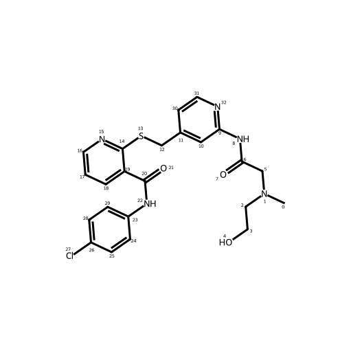 CN(CCO)CC(=O)Nc1cc(CSc2ncccc2C(=O)Nc2ccc(Cl)cc2)ccn1